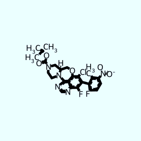 Cc1c([N+](=O)[O-])ccc(F)c1-c1c(Cl)c2c3c(ncnc3c1F)N1CCN(C(=O)OC(C)(C)C)C[C@H]1CO2